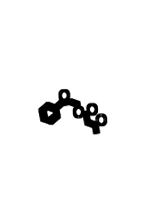 CC(=O)CC(=O)OCC1OC1c1ccccc1